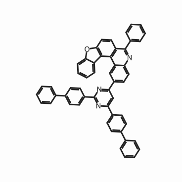 c1ccc(-c2ccc(-c3cc(-c4ccc5nc(-c6ccccc6)c6ccc7oc8ccccc8c7c6c5c4)nc(-c4ccc(-c5ccccc5)cc4)n3)cc2)cc1